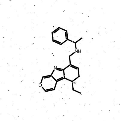 CC[C@@H]1CC=C(CNC(C)c2ccccc2)c2nc3coccc-3c21